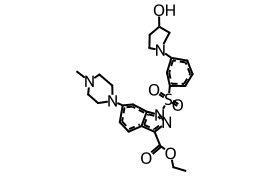 CCOC(=O)c1nn(S(=O)(=O)c2cccc(N3CCC(O)C3)c2)c2cc(N3CCN(C)CC3)ccc12